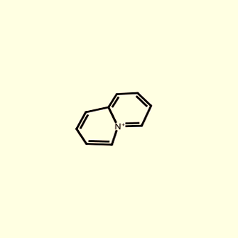 c1cc[n+]2ccccc2c1